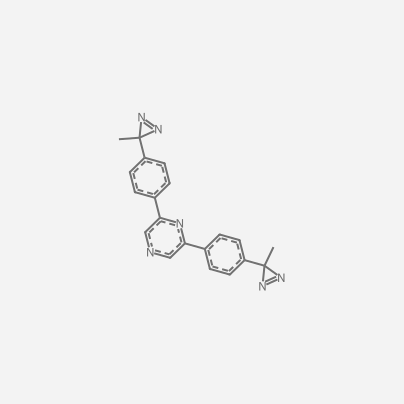 CC1(c2ccc(-c3cncc(-c4ccc(C5(C)N=N5)cc4)n3)cc2)N=N1